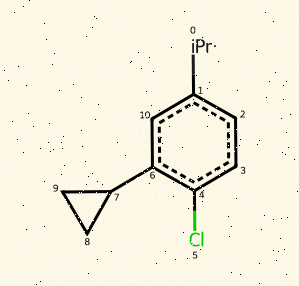 C[C](C)c1ccc(Cl)c(C2CC2)c1